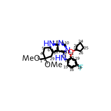 COC[C@]1(OC)CCc2[nH]c3ncnc(Nc4ccc(F)cc4OC4CCCC4)c3c2C1